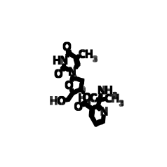 Cc1cn([C@H]2C[C@@H](OC(=O)c3cccnc3C(C)(C)N)C(CO)O2)c(=O)[nH]c1=O